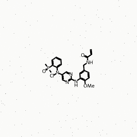 C=CC(=O)NCc1ccc(OC)c(Nc2ncc(N(Cl)c3ccccc3P(C)(C)=O)cn2)c1